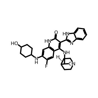 O=c1[nH]c2cc(NC3CCC(O)CC3)c(F)cc2c(N[C@H]2CN3CCC2CC3)c1-c1nc2ccccc2[nH]1